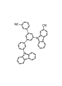 N#Cc1cccc(-c2cc(-c3cccc(-n4c5ccccc5c5ccccc54)c3)cc(-n3c4ccccc4c4ccc(C#N)cc43)c2)c1